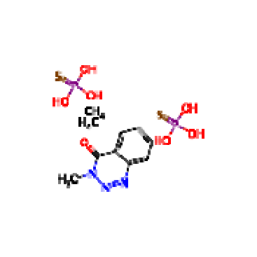 C.C.Cn1nnc2ccccc2c1=O.OP(O)(O)=S.OP(O)(O)=S